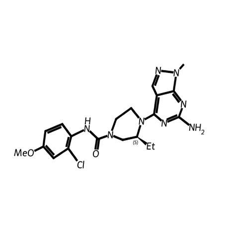 CC[C@H]1CN(C(=O)Nc2ccc(OC)cc2Cl)CCN1c1nc(N)nc2c1cnn2C